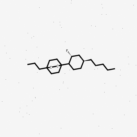 CCCCC[C@H]1CCC(C23CCC(CCC)(CC2)CC3)[C@H](F)C1